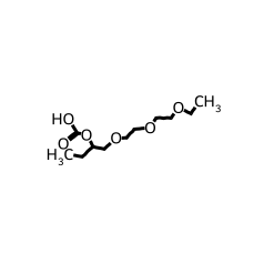 CCOCCOCCOCC(CC)OC(=O)O